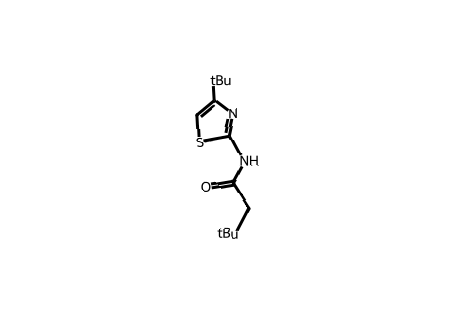 CC(C)(C)CC(=O)Nc1nc(C(C)(C)C)cs1